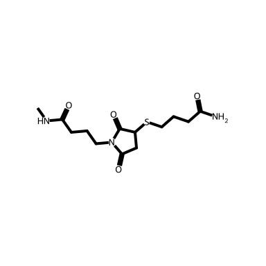 CNC(=O)CCCN1C(=O)CC(SCCCC(N)=O)C1=O